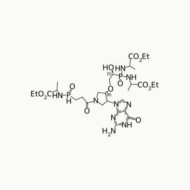 CCOC(=O)C(C)N[PH](=O)CCC(=O)N1CC(n2cnc3c(=O)[nH]c(N)nc32)[C@H](OC[C@@H](O)P(=O)(NC(C)C(=O)OCC)NC(C)C(=O)OCC)C1